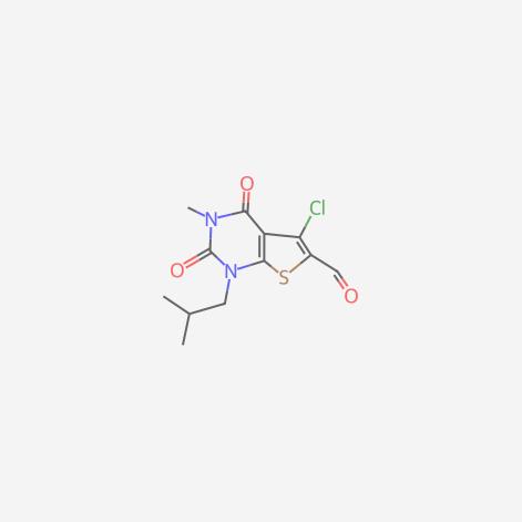 CC(C)Cn1c(=O)n(C)c(=O)c2c(Cl)c(C=O)sc21